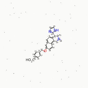 CC(C(c1ccc2cc(OCc3ccc(C(=O)O)cc3)ccc2c1)c1ncc[nH]1)N(C)C